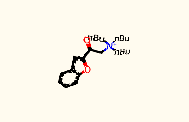 CCCC[N+](CCCC)(CCCC)CC(=O)c1cc2ccccc2o1